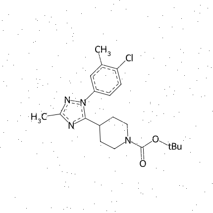 Cc1nc(C2CCN(C(=O)OC(C)(C)C)CC2)n(-c2ccc(Cl)c(C)c2)n1